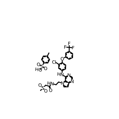 CS(=O)(=O)CC(=O)NCCn1ccc2ncnc(Nc3ccc(Oc4cccc(C(F)(F)F)c4)c(Cl)c3)c21.Cc1ccc(S(=O)(=O)O)cc1